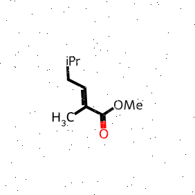 COC(=O)C(C)=CCC(C)C